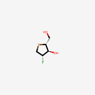 OC[C@H]1SC[C@@H](F)[C@@H]1O